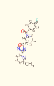 Cc1cccc(-c2noc([C@H]3CCCN(C(=O)c4ccc(F)cc4)C3)n2)n1